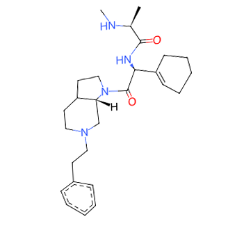 CN[C@@H](C)C(=O)N[C@H](C(=O)N1CCC2CCN(CCc3ccccc3)C[C@H]21)C1=CCCCC1